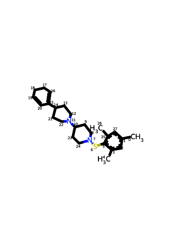 Cc1cc(C)c(SN2CCC(N3CCC(C4=CCCC=C4)CC3)CC2)c(C)c1